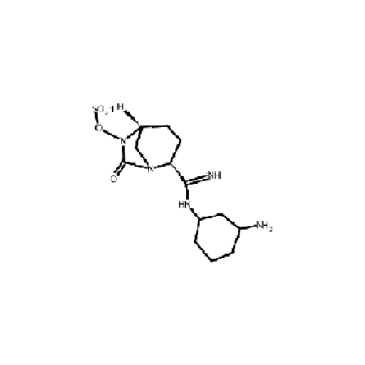 N=C(NC1CCCC(N)C1)[C@@H]1CC[C@@H]2CN1C(=O)N2OS(=O)(=O)O